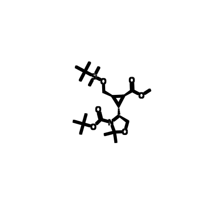 COC(=O)[C@@H]1[C@H](CO[Si](C)(C)C(C)(C)C)[C@H]1[C@H]1COC(C)(C)N1C(=O)OC(C)(C)C